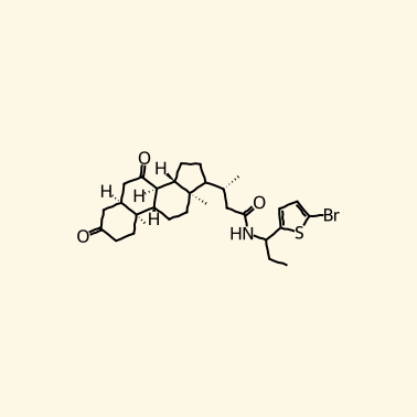 CCC(NC(=O)C[C@@H](C)C1CC[C@H]2[C@@H]3C(=O)C[C@@H]4CC(=O)CC[C@]4(C)[C@H]3CC[C@]12C)c1ccc(Br)s1